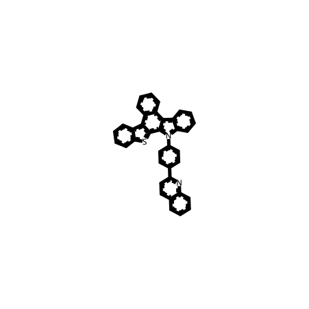 c1ccc2nc(-c3ccc(-n4c5ccccc5c5c6ccccc6c6c7ccccc7sc6c54)cc3)ccc2c1